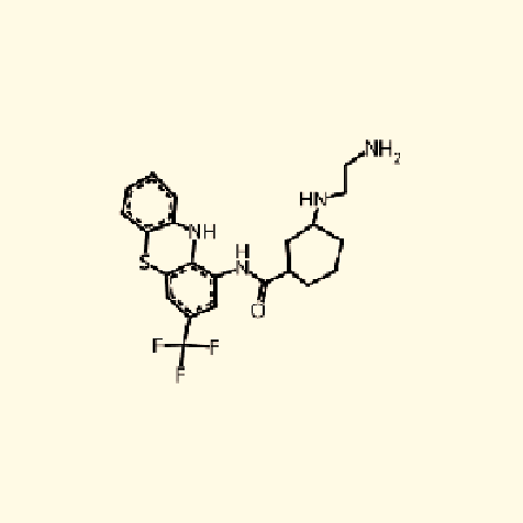 NCCNC1CCCC(C(=O)Nc2cc(C(F)(F)F)cc3c2Nc2ccccc2S3)C1